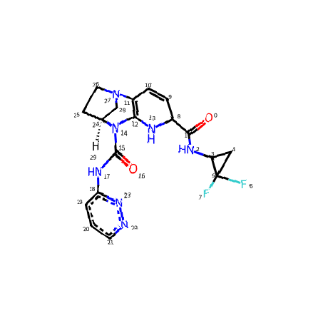 O=C(NC1CC1(F)F)C1C=CC2=C(N1)N(C(=O)Nc1cccnn1)[C@H]1CCN2C1